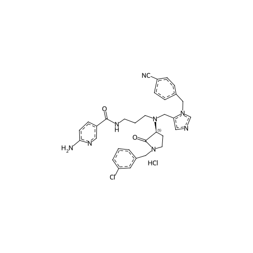 Cl.N#Cc1ccc(Cn2cncc2CN(CCCNC(=O)c2ccc(N)nc2)[C@H]2CCN(Cc3cccc(Cl)c3)C2=O)cc1